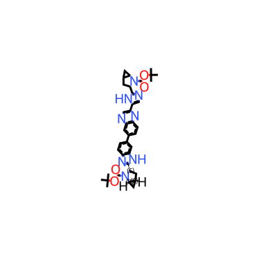 CC(C)(C)OC(=O)N1C(c2ncc(-c3cnc4cc(-c5ccc6nc([C@@H]7C[C@@H]8C[C@H]8N7C(=O)OC(C)(C)C)[nH]c6c5)ccc4n3)[nH]2)CC2CC21